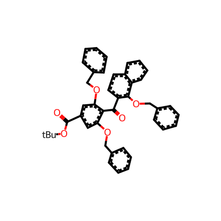 CC(C)(C)OC(=O)c1cc(OCc2ccccc2)c(C(=O)c2ccc3ccccc3c2OCc2ccccc2)c(OCc2ccccc2)c1